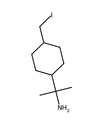 CC(C)(N)C1CCC(CI)CC1